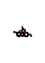 COC1CCC2(CC1)Cc1ccc(Br)cc1C21NC(=S)N2CCCN=C21